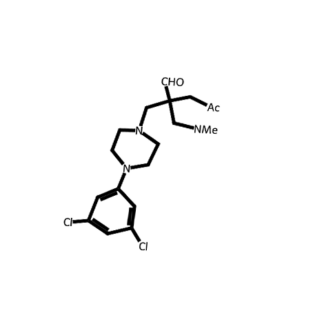 CNCC(C=O)(CC(C)=O)CN1CCN(c2cc(Cl)cc(Cl)c2)CC1